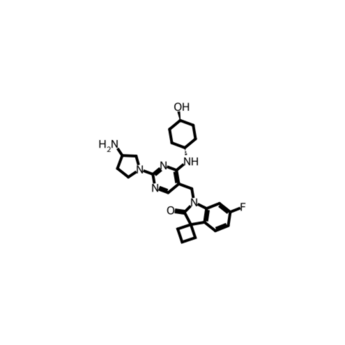 NC1CCN(c2ncc(CN3C(=O)C4(CCC4)c4ccc(F)cc43)c(N[C@H]3CC[C@H](O)CC3)n2)C1